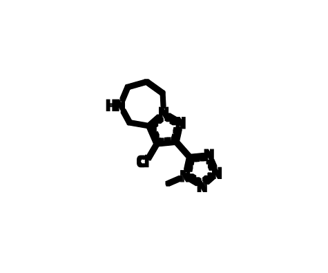 Cn1nnnc1-c1nn2c(c1Cl)CNCCC2